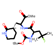 COC(=O)C(C[C@@H]1CCCNC1=O)NC(=O)C(CC(C)(C)F)NC(=O)OC(C)(C)C